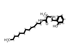 CCCCCCCCCCCCNC(=O)[C@H](C)NCc1ccccc1O